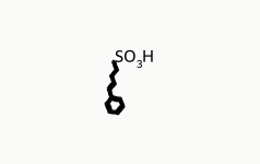 O=S(=O)(O)CCCC=Cc1ccccc1